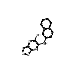 Oc1nc2nonc2nc1Nc1ccc2ccccc2c1